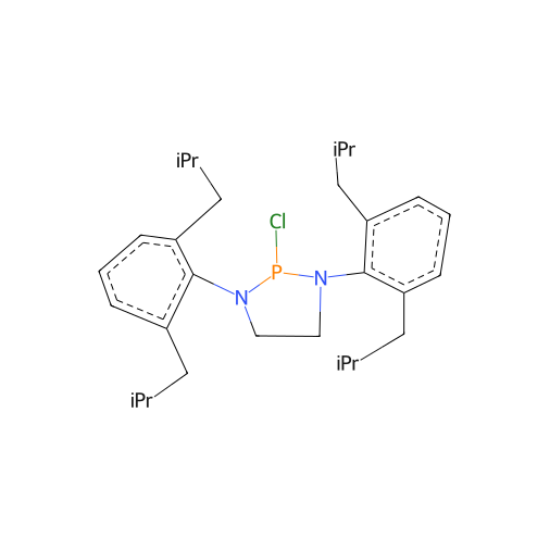 CC(C)Cc1cccc(CC(C)C)c1N1CCN(c2c(CC(C)C)cccc2CC(C)C)P1Cl